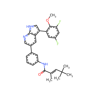 COc1c(F)cc(F)cc1-c1c[nH]c2ncc(-c3cccc(NC(=O)C(C)=CC(C)(C)C)c3)cc12